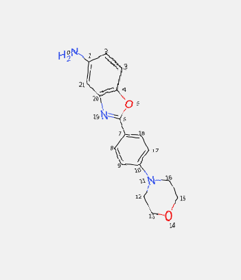 Nc1ccc2oc(-c3ccc(N4CCOCC4)cc3)nc2c1